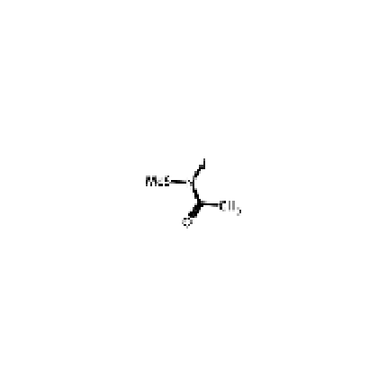 CSN(I)C(C)=O